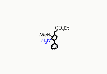 CCOC(=O)CCc1ccc(-c2ccccc2)c(N)c1NC